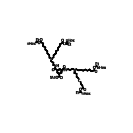 CCCCCCC(CC)OC(=O)CCCCCCCCN(CCCCCCCCC(=O)OC(CC)CCCCCC)CCCNC(=O)c1cc(C(=O)NCCCN(CCCCCCCCC(=O)OC(CC)CCCCCC)CCCCCCCCC(=O)OC(CC)CCCCCC)cc(C(=O)OC)c1